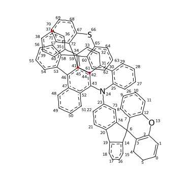 C1=CC2=C(CC1)C1(c3ccccc3O2)c2ccccc2-c2ccc(N(c3ccccc3C3C=CC(c4ccccc4)=CC3)c3cc4c(c5ccccc35)-c3ccccc3C43c4ccccc4Sc4ccccc43)cc21